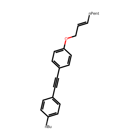 CCCCCC=CCOc1ccc(C#Cc2ccc(CCCC)cc2)cc1